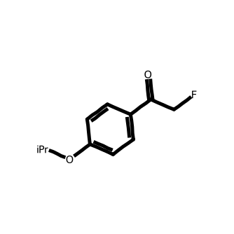 CC(C)Oc1ccc(C(=O)CF)cc1